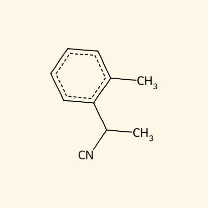 [C-]#[N+]C(C)c1ccccc1C